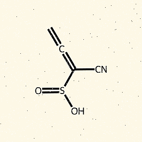 C=C=C(C#N)S(=O)O